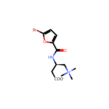 C[N+](C)(C)C[C@@H](CC(=O)[O-])NC(=O)c1ccc(Br)o1